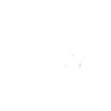 Clc1nc(-c2ccccc2)nc(-c2cc(-c3cccc4oc5ccccc5c34)c3oc4ccccc4c3c2)n1